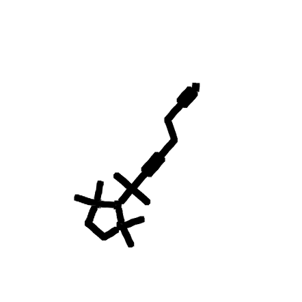 CC(C)(C#CCCC#N)N1[Si](C)(C)CC[Si]1(C)C